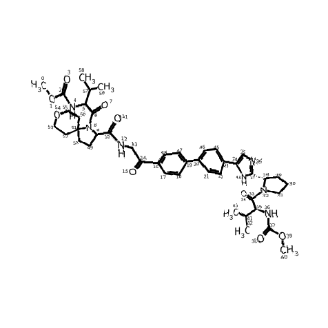 COC(=O)NC(C(=O)N1C(C(=O)NCC(=O)c2ccc(-c3ccc(-c4cnc([C@@H]5CCCN5C(=O)[C@@H](NC(=O)OC)C(C)C)[nH]4)cc3)cc2)CCC12CCOCC2)C(C)C